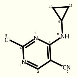 N#Cc1cnc(Cl)nc1NC1CC1